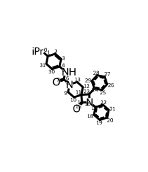 CC(C)C1C=CC(NC(=O)N2CCC3(CC2)C(=O)N(c2ccccc2)C3c2ccccc2)=CC1